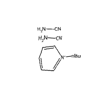 CCCC[n+]1ccccc1.N#CN.N#CN